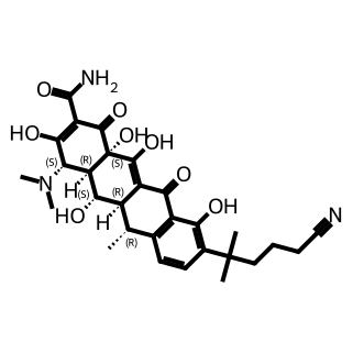 C[C@H]1c2ccc(C(C)(C)CCCC#N)c(O)c2C(=O)C2=C(O)[C@]3(O)C(=O)C(C(N)=O)=C(O)[C@@H](N(C)C)[C@@H]3[C@@H](O)[C@@H]21